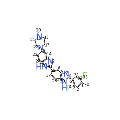 Cc1cc(F)c(-c2nc3cc(-c4nc5cc(N6CCN(C)CC6)ccc5[nH]4)ccc3[nH]2)cc1F